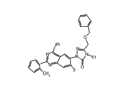 CCn1c(COCc2ccccc2)nn(-c2cc3c(C(C)C)nc(-c4ccccc4C)nc3cc2F)c1=O